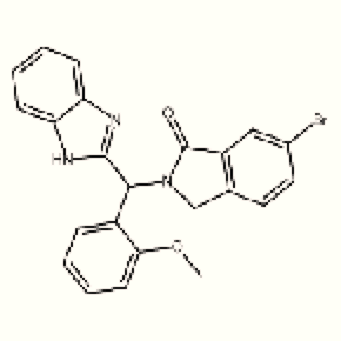 COc1ccccc1C(c1nc2ccccc2[nH]1)N1Cc2ccc(Br)cc2C1=O